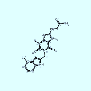 Cn1c(NCC(N)=O)nc2c1c(=O)n(Cc1cc3c(Cl)cccc3[nH]1)c(=O)n2C